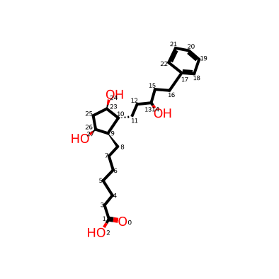 O=C(O)CCCCCC[C@@H]1[C@@H](CCC(O)CCc2ccccc2)[C@H](O)C[C@@H]1O